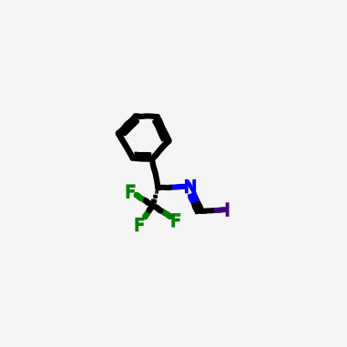 FC(F)(F)[C@@H](/N=C/I)c1ccccc1